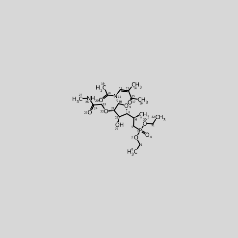 CCOP(=O)(C[C@H](C)[C@H]1O[C@@H](N(/C=C(/C)C(C)=O)C(C)=O)[C@H](OCC(=O)NC)[C@@H]1O)OCC